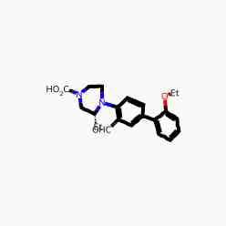 CCOc1ccccc1-c1ccc(N2CCN(C(=O)O)C[C@H]2CC)c(C=O)c1